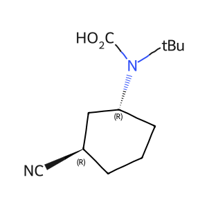 CC(C)(C)N(C(=O)O)[C@@H]1CCC[C@@H](C#N)C1